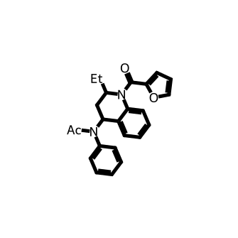 CCC1CC(N(C(C)=O)c2ccccc2)c2ccccc2N1C(=O)c1ccco1